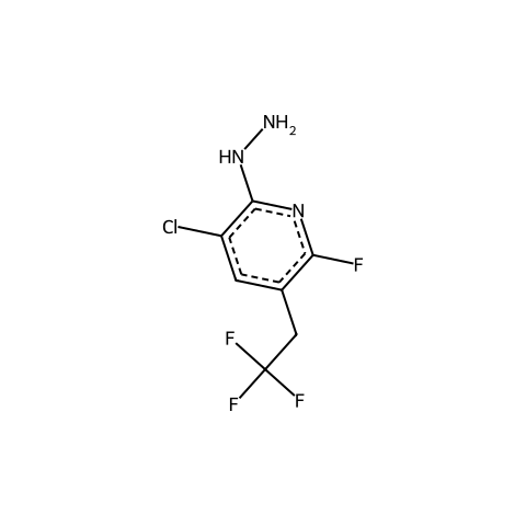 NNc1nc(F)c(CC(F)(F)F)cc1Cl